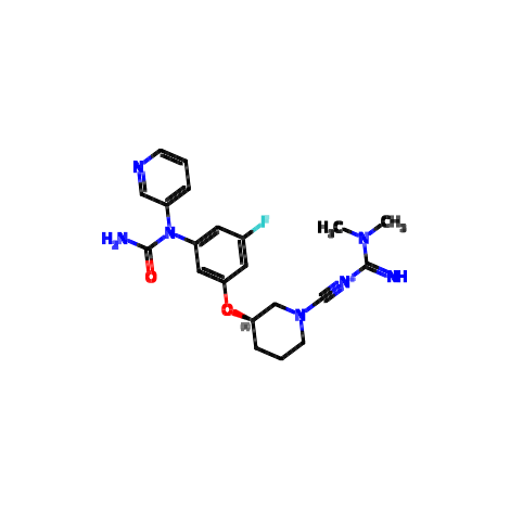 CN(C)C(=N)[N+]#CN1CCC[C@@H](Oc2cc(F)cc(N(C(N)=O)c3cccnc3)c2)C1